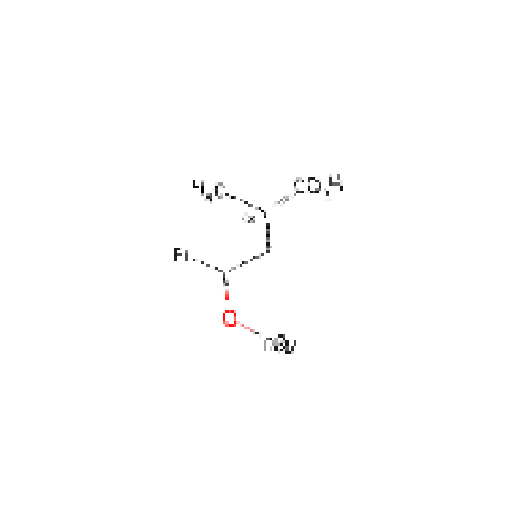 CCCCOC(CC)C[C@H](C)C(=O)O